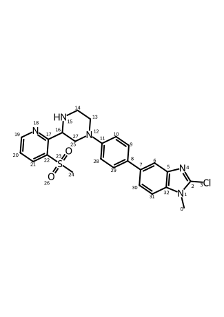 Cn1c(Cl)nc2cc(-c3ccc(N4CCNC(c5ncccc5S(C)(=O)=O)C4)cc3)ccc21